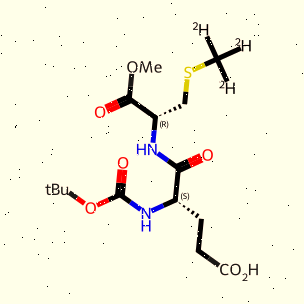 [2H]C([2H])([2H])SC[C@H](NC(=O)[C@H](CCC(=O)O)NC(=O)OC(C)(C)C)C(=O)OC